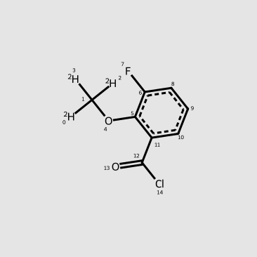 [2H]C([2H])([2H])Oc1c(F)cccc1C(=O)Cl